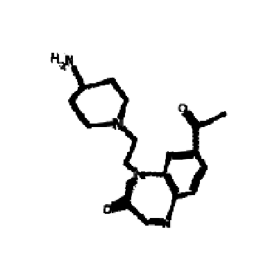 CC(=O)c1ccc2ncc(=O)n(CCN3CCC(N)CC3)c2c1